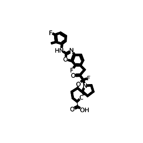 Cc1c(F)cccc1Nc1nc2ccc(CC(=O)C(F)(O[C@H]3CC[C@H](C(=O)O)CC3)N3CCCC3)c(F)c2o1